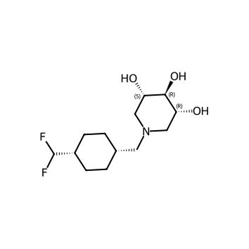 O[C@H]1[C@H](O)CN(C[C@H]2CC[C@@H](C(F)F)CC2)C[C@@H]1O